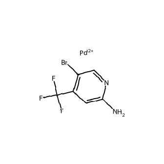 Nc1cc(C(F)(F)F)c(Br)cn1.[Pd+2]